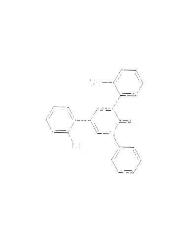 N#Cc1ccccc1-c1cc(-c2ccccc2N)cn(-c2ccccc2)c1=O